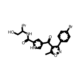 Cc1onc(-c2ccc(Br)cc2)c1C(=O)c1c[nH]c(C(=O)NC(CO)C(C)C)c1